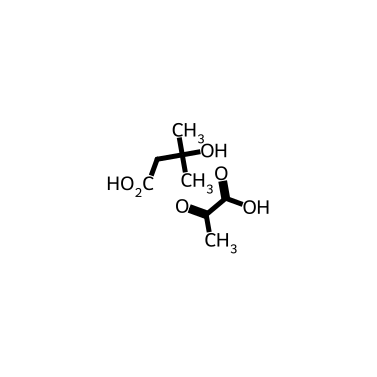 CC(=O)C(=O)O.CC(C)(O)CC(=O)O